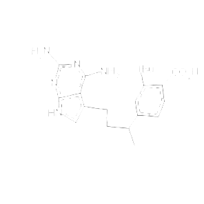 CC(CCc1c[nH]c2nc(N)nc(N)c12)c1ccc(C(=O)O)c(C(C)(C)C)c1